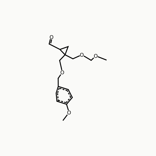 COCOCC1(COCc2ccc(OC)cc2)CC1C=O